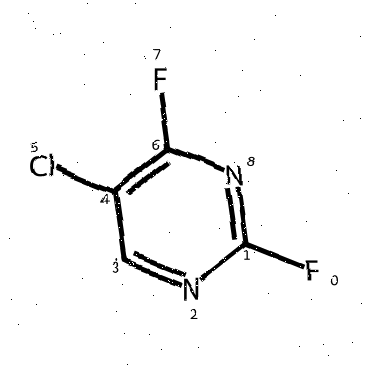 Fc1n[c]c(Cl)c(F)n1